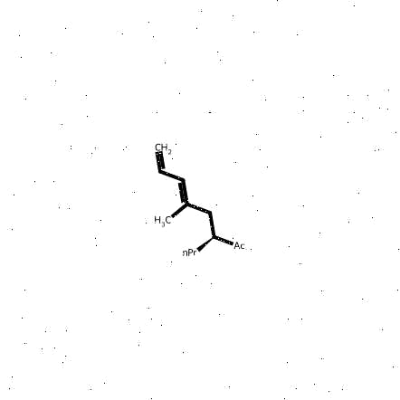 C=C/C=C(\C)C[C@H](CCC)C(C)=O